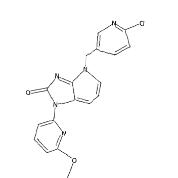 COc1cccc(-n2c3cccn(Cc4ccc(Cl)nc4)c-3nc2=O)n1